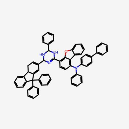 C1=C(C2N=C(c3ccc(N(c4ccccc4)c4ccc(-c5ccccc5)cc4)c4c3oc3ccccc34)NC(c3ccccc3)N2)C=C2C(C1)c1ccccc1C2(c1ccccc1)c1ccccc1